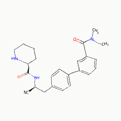 CN(C)C(=O)c1cccc(-c2ccc(C[C@@H](C#N)NC(=O)[C@@H]3CCCCN3)cc2)c1